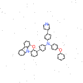 c1ccc(Oc2ccc(N(c3ccc(-c4ccncc4)cc3)c3ccc(-c4cccc5c4Oc4cccc6c7ccccc7n-5c46)cc3)cc2)cc1